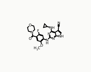 COc1cc(C(=O)N2CCOCC2)c(F)cc1Nc1nc(NC2CC2)c2c(C#N)c[nH]c2n1